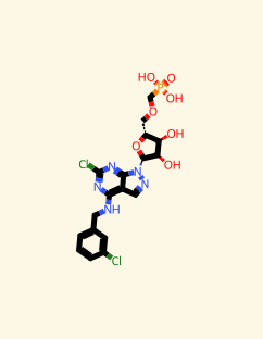 O=P(O)(O)COC[C@H]1O[C@@H](n2ncc3c(NCc4cccc(Cl)c4)nc(Cl)nc32)[C@H](O)[C@@H]1O